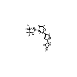 CC1(C)OB(C2=CC(c3cnn(C4CC(F)C4)c3)OCC2)OC1(C)C